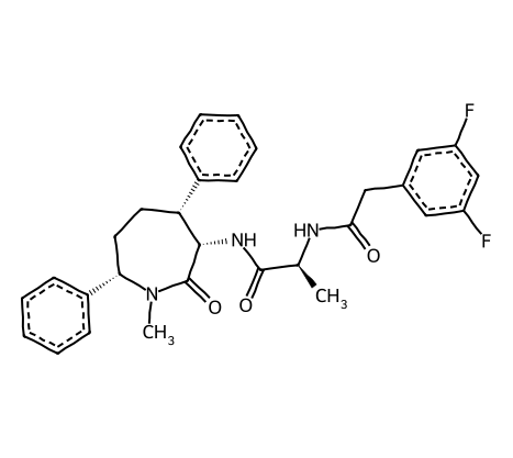 C[C@H](NC(=O)Cc1cc(F)cc(F)c1)C(=O)N[C@@H]1C(=O)N(C)[C@H](c2ccccc2)CC[C@@H]1c1ccccc1